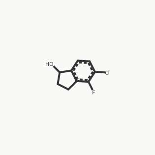 OC1CCc2c1ccc(Cl)c2F